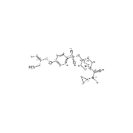 C/C=C(\CN)COc1ccc(S(=O)(=O)CC23CCC(C(=O)N(C)C4CC4)(CC2)CC3)cc1